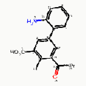 Cc1c(C(=O)O)cc(-c2ccccc2N)cc1C(=O)C(C)C